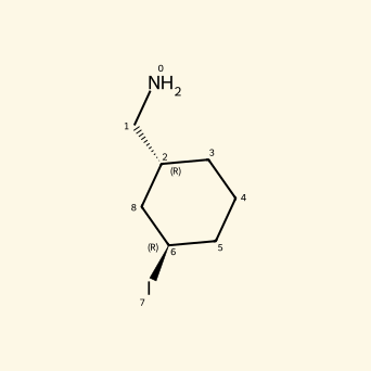 NC[C@@H]1CCC[C@@H](I)C1